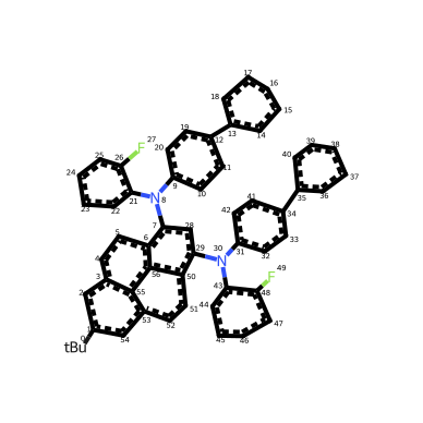 CC(C)(C)c1cc2ccc3c(N(c4ccc(-c5ccccc5)cc4)c4ccccc4F)cc(N(c4ccc(-c5ccccc5)cc4)c4ccccc4F)c4ccc(c1)c2c34